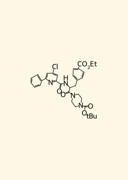 CCOC(=O)c1ccc(CC(NC(=O)c2cc(Cl)cc(-c3ccccc3)n2)C(=O)N2CCN(C(=O)OC(C)(C)C)CC2)cc1